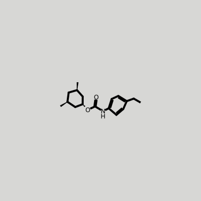 CCc1ccc(NC(=O)O[C@H]2C[C@H](C)C[C@H](C)C2)cc1